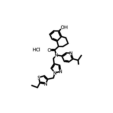 CCc1nc(Cn2cc(CN(C(=O)C3CCCc4c(O)cccc43)c3ccc(C(C)C)nc3)cn2)cs1.Cl